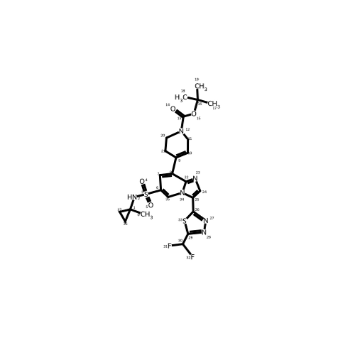 CC1(NS(=O)(=O)c2cc(C3=CCN(C(=O)OC(C)(C)C)CC3)c3ncc(-c4nnc(C(F)F)s4)n3c2)CC1